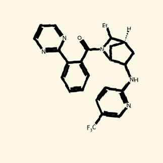 CCC1[C@H]2CC(Nc3ccc(C(F)(F)F)cn3)C(C2)N1C(=O)c1ccccc1-c1ncccn1